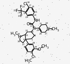 COc1ccc(C23CCC(N(C(=O)Nc4ccc(Cl)c(C(F)(F)F)c4)C4=CCN(C)CC4)CC2N(C)CC3)cc1OC